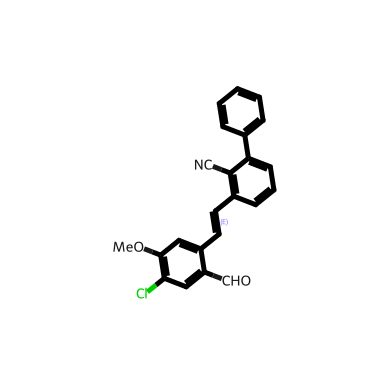 COc1cc(/C=C/c2cccc(-c3ccccc3)c2C#N)c(C=O)cc1Cl